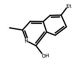 CCc1ccc2c(O)nc(C)cc2c1